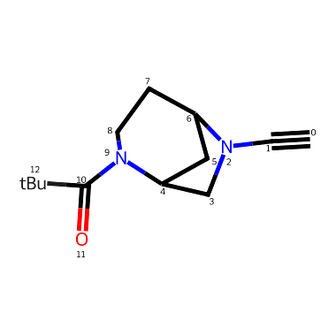 C#CN1CC2CC1CCN2C(=O)C(C)(C)C